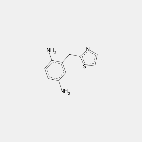 Nc1ccc(N)c(Cc2nccs2)c1